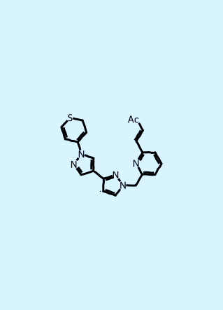 CC(=O)C=Cc1cccc(Cn2c[c]c(-c3cnn(C4=CCSC=C4)c3)n2)n1